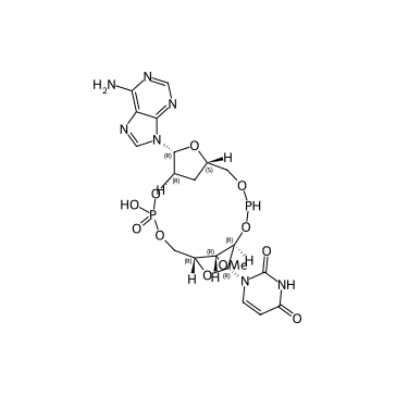 CO[C@H]1[C@H]2OPOC[C@@H]3C[C@@H](OP(=O)(O)OC[C@H]1O[C@H]2n1ccc(=O)[nH]c1=O)[C@H](n1cnc2c(N)ncnc21)O3